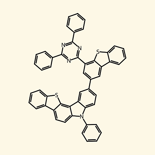 c1ccc(-c2nc(-c3ccccc3)nc(-c3cc(-c4ccc5c(c4)c4c6sc7ccccc7c6ccc4n5-c4ccccc4)cc4c3sc3ccccc34)n2)cc1